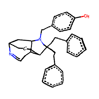 Oc1ccc(CN2C3CC4CC(C3C=N4)C2(Cc2ccccc2)Cc2ccccc2)cc1